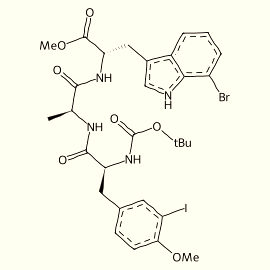 COC(=O)[C@H](Cc1c[nH]c2c(Br)cccc12)NC(=O)[C@H](C)NC(=O)[C@H](Cc1ccc(OC)c(I)c1)NC(=O)OC(C)(C)C